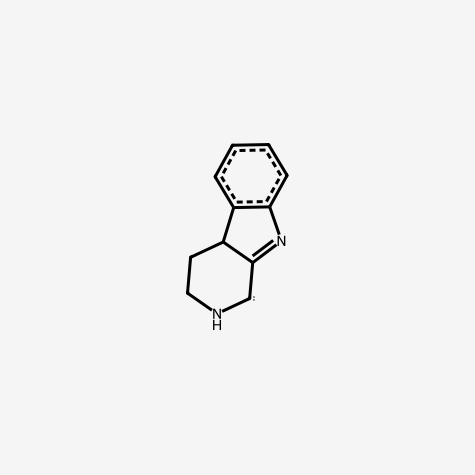 [C]1NCCC2C1=Nc1ccccc12